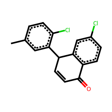 Cc1ccc(Cl)c(C2C=CC(=O)c3ccc(Cl)cc32)c1